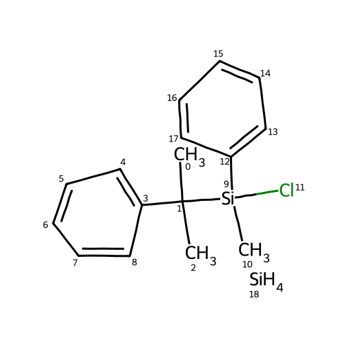 CC(C)(c1ccccc1)[Si](C)(Cl)c1ccccc1.[SiH4]